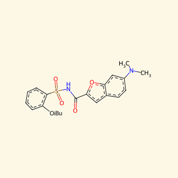 CC(C)COc1ccccc1S(=O)(=O)NC(=O)c1cc2ccc(N(C)C)cc2o1